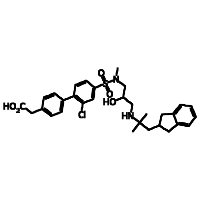 CN(CC(O)CNC(C)(C)CC1Cc2ccccc2C1)S(=O)(=O)c1ccc(-c2ccc(CC(=O)O)cc2)c(Cl)c1